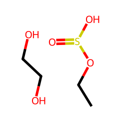 CCOS(=O)O.OCCO